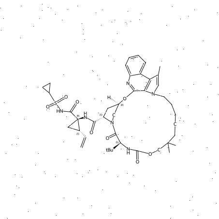 C=C[C@@H]1C[C@]1(NC(=O)[C@@H]1C[C@@H]2CN1C(=O)[C@H](C(C)(C)C)NC(=O)OCC(C)(C)CCCCCn1cc(C)c3c4ccccc4nc(c31)O2)C(=O)NS(=O)(=O)C1CC1